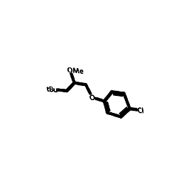 COC(COc1ccc(Cl)cc1)CC(C)(C)C